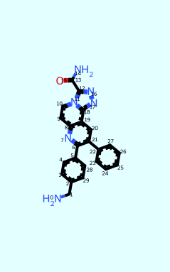 NCc1ccc(-c2nc3ccn4c(C(N)=O)nnc4c3cc2-c2ccccc2)cc1